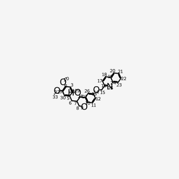 COc1ccc(CC2COc3ccc(OCc4ccc5ccccc5n4)cc3C2O)cc1OC